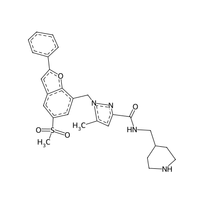 Cc1cc(C(=O)NCC2CCNCC2)nn1Cc1cc(S(C)(=O)=O)cc2cc(-c3ccccc3)oc12